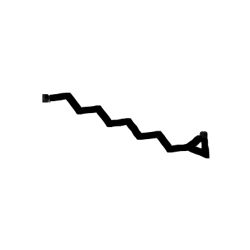 BrCCCCCCCCC1CO1